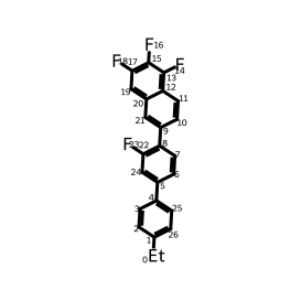 CCc1ccc(-c2ccc(-c3ccc4c(F)c(F)c(F)cc4c3)c(F)c2)cc1